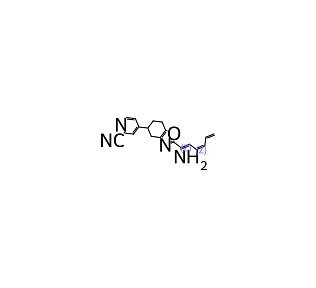 C=C/C=C\C=C(/N)c1nc2c(o1)CCC(c1ccnc(C#N)c1)C2